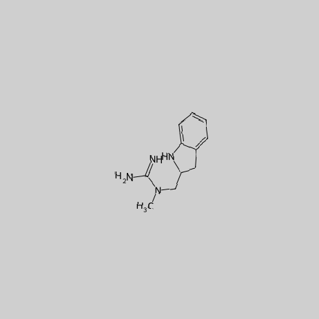 CN(CC1Cc2ccccc2N1)C(=N)N